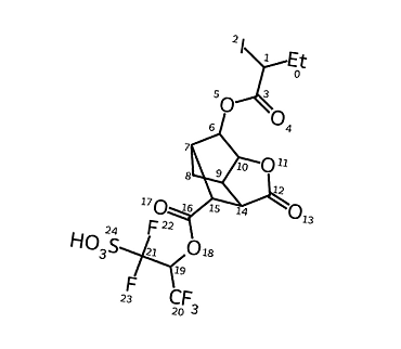 CCC(I)C(=O)OC1C2CC3C1OC(=O)C3C2C(=O)OC(C(F)(F)F)C(F)(F)S(=O)(=O)O